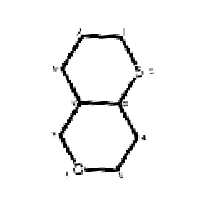 [C]1CSC2CCOCC2C1